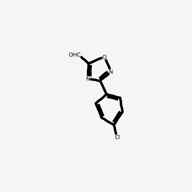 O=Cc1nc(-c2ccc(Cl)cc2)no1